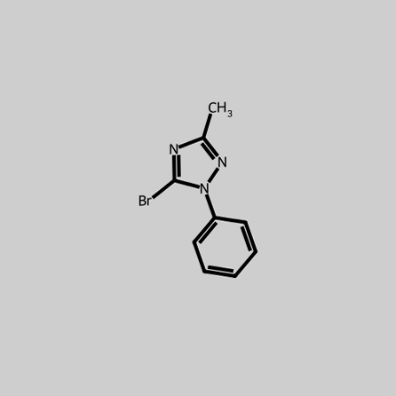 Cc1nc(Br)n(-c2ccccc2)n1